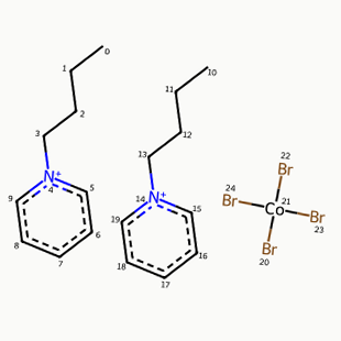 CCCC[n+]1ccccc1.CCCC[n+]1ccccc1.[Br][Co]([Br])([Br])[Br]